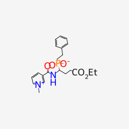 CCOC(=O)CCC(NC(=O)c1ccc[n+](C)c1)P(=O)([O-])CCc1ccccc1